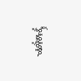 COc1ccc(CNc2ncnc3c(C(=O)Nc4c(C)ccc5c(Nc6cc(F)ccc6F)nccc45)cccc23)c(OC)c1